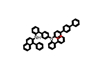 c1ccc(-c2ccc(-c3ccc(N(c4ccc(-c5ccccc5Nc5ccc6ccccc6c5-c5ccccc5)cc4)c4ccccc4-c4ccccc4)cc3)cc2)cc1